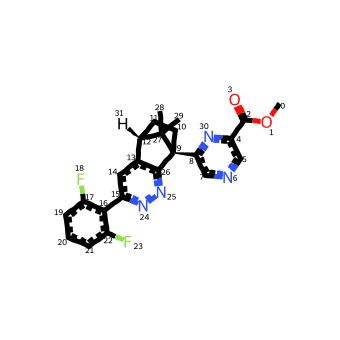 COC(=O)c1cncc([C@@]23CC[C@@H](c4cc(-c5c(F)cccc5F)nnc42)C3(C)C)n1